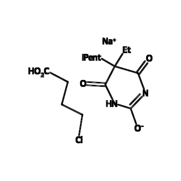 CCCC(C)C1(CC)C(=O)N=C([O-])NC1=O.O=C(O)CCCCl.[Na+]